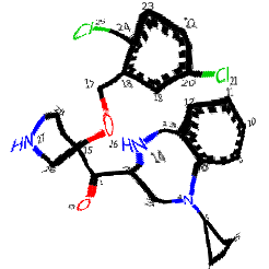 O=C(C1CN(C2CC2)c2ccccc2N1)C1(OCc2cc(Cl)ccc2Cl)CNC1